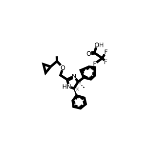 CC(OCC1=N[C@@](C)(c2ccccc2)[C@@H](c2ccccc2)N1)C1CC1.O=C(O)C(F)(F)F